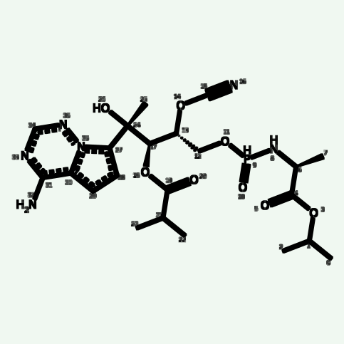 CC(C)OC(=O)[C@H](C)N[PH](=O)OC[C@@H](OC#N)[C@@H](OC(=O)C(C)C)[C@@](C)(O)c1ccc2c(N)ncnn12